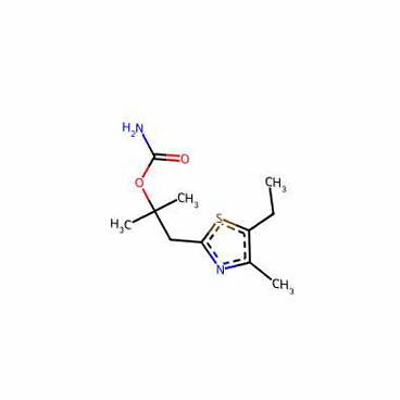 CCc1sc(CC(C)(C)OC(N)=O)nc1C